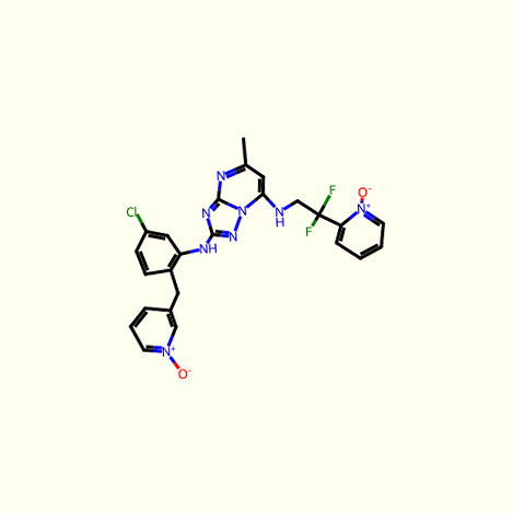 Cc1cc(NCC(F)(F)c2cccc[n+]2[O-])n2nc(Nc3cc(Cl)ccc3Cc3ccc[n+]([O-])c3)nc2n1